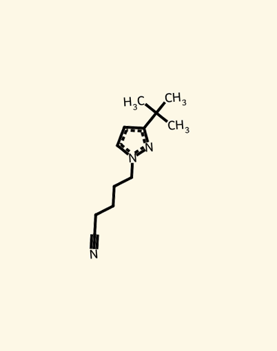 CC(C)(C)c1ccn(CCCCC#N)n1